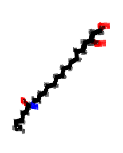 CCCCCC(=O)NCCCCCCCCCCCCCCCC(O)CCO